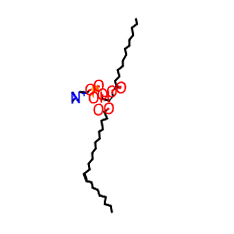 CCCCCCCC/C=C\CCCCCCCCCCCC(=O)O[C@H](COC(=O)CCCCCCCCCCCCC)COP(=O)(O)OCC[N+](C)(C)C